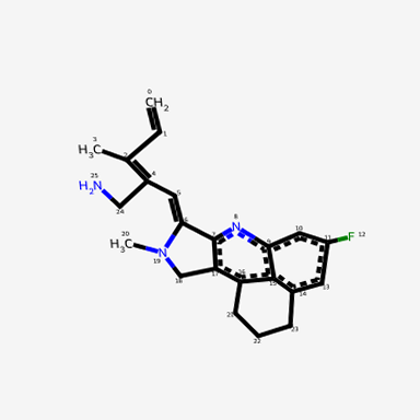 C=C/C(C)=C(\C=C1\c2nc3cc(F)cc4c3c(c2CN1C)CCC4)CN